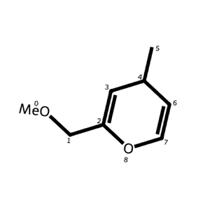 COCC1=CC(C)C=CO1